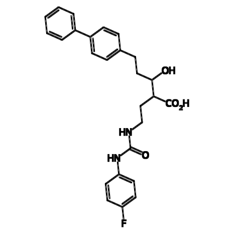 O=C(NCCC(C(=O)O)C(O)CCc1ccc(-c2ccccc2)cc1)Nc1ccc(F)cc1